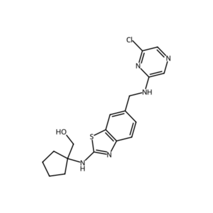 OCC1(Nc2nc3ccc(CNc4cncc(Cl)n4)cc3s2)CCCC1